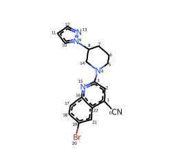 N#Cc1cc(N2CCCC(n3cccn3)C2)nc2ccc(Br)cc12